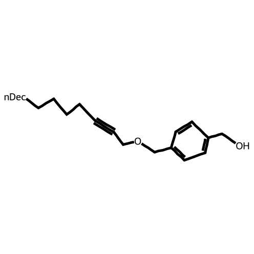 CCCCCCCCCCCCCCC#CCOCc1ccc(CO)cc1